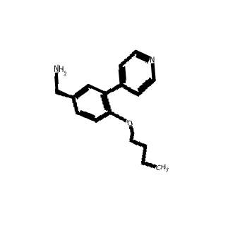 CCCCOc1ccc(CN)cc1-c1ccncc1